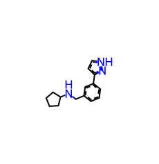 c1cc(CNC2CCCC2)cc(-c2cc[nH]n2)c1